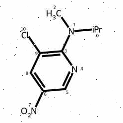 CC(C)N(C)c1ncc([N+](=O)[O-])cc1Cl